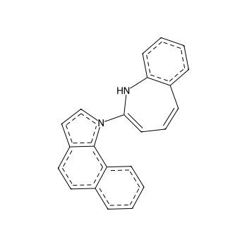 C1=Cc2ccccc2NC(n2ccc3ccc4ccccc4c32)=C1